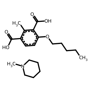 CCCCCOc1ccc(C(=O)O)c(C)c1C(=O)O.CN1CCCCC1